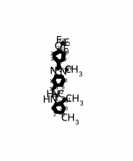 CC1C=CC(N/N=C/c2ccc3c(c2)nc(-c2ccc(OC(F)(F)F)cc2)n3C)=C(C(C)C)C1